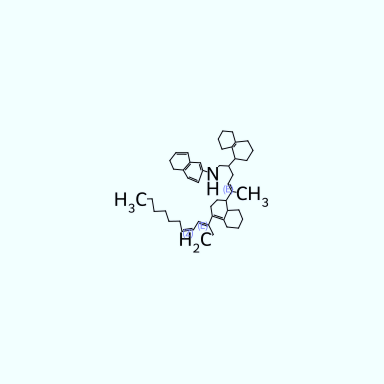 C=C/C(=C\C=C/CCCCCC)C1=C2CCCCC2C(/C(C)=C/CC(CNc2ccc3c(c2)C=CCC3)C2CCCC3=C2CCCC3)CC1